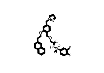 O=C(COCc1ccc(Cn2cccn2)cc1OCCc1ccc2ccccc2c1)NS(=O)(=O)c1ccc(F)c(F)c1